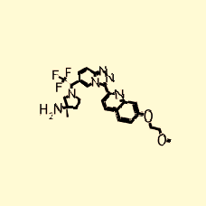 COCCOc1ccc2ccc(-c3nnc4ccc([C@H](N5CC[C@](C)(N)C5)C(F)(F)F)cn34)nc2c1